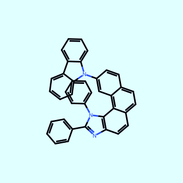 c1ccc(-c2nc3ccc4ccc5ccc(-n6c7ccccc7c7ccccc76)cc5c4c3n2-c2ccccc2)cc1